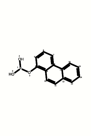 OP(O)Oc1cccc2c1ccc1ccccc12